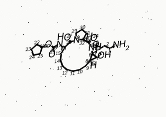 NCCP(=O)(O)[C@@]12C[C@H]1CCCCCCC[C@H](NC(=O)OC1CCCC1)C(=O)N1CCC[C@H]1C(=O)N2